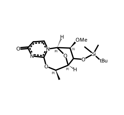 CO[C@H]1C(O[Si](C)(C)C(C)(C)C)[C@@H]2O[C@H]1n1ccc(=O)nc1O[C@@H]2C